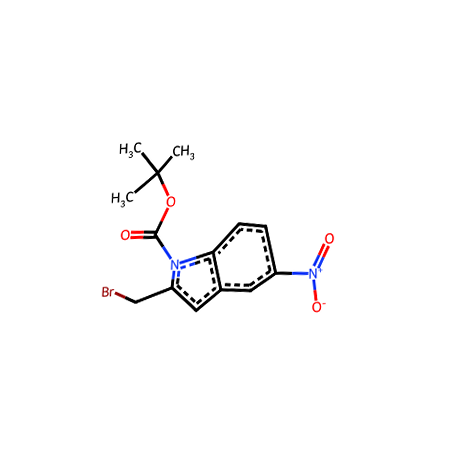 CC(C)(C)OC(=O)n1c(CBr)cc2cc([N+](=O)[O-])ccc21